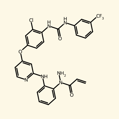 C=CC(=O)N(N)c1ccccc1Nc1cc(Oc2ccc(NC(=O)Nc3cccc(C(F)(F)F)c3)c(Cl)c2)ccn1